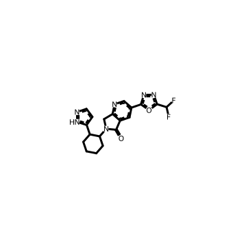 O=C1c2cc(-c3nnc(C(F)F)o3)cnc2CN1C1CCCCC1c1ccn[nH]1